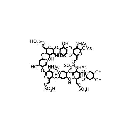 CO[C@H]1OC(COS(=O)(=O)O)[C@@H](O[C@H]2C[C@H](O)[C@@H](O[C@@H]3OC(COS(=O)(=O)O)[C@@H](O[C@H]4C[C@H](O)[C@@H](O[C@@H]5OC(COS(=O)(=O)O)[C@@H](O[C@H]6C[C@H](O)[C@@H](O[C@@H]7OC(COS(=O)(=O)O)[C@@H](O[C@H]8C[C@H](O)[C@H](O)CO8)[C@H](O)C7NC(C)=O)CO6)[C@H](O)C5NC(C)=O)CO4)[C@H](O)C3NC(C)=O)CO2)[C@H](O)C1NC(C)=O